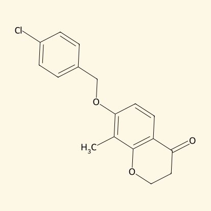 Cc1c(OCc2ccc(Cl)cc2)ccc2c1OCCC2=O